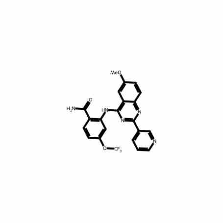 COc1ccc2nc(-c3cccnc3)nc(Nc3cc(OC(F)(F)F)ccc3C(N)=O)c2c1